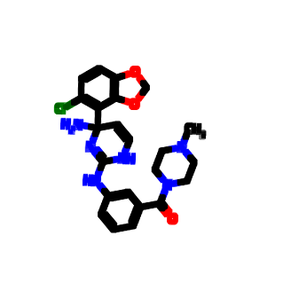 CN1CCN(C(=O)c2cccc(NC3=NC(N)(c4c(Cl)ccc5c4OCO5)C=CN3)c2)CC1